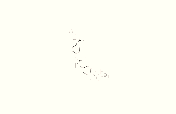 CC(C)OC(c1ccc(NC(=O)Cc2ccc(S(=O)(=O)CC3CC3)cc2)cc1)(C(F)(F)F)C(F)(F)F